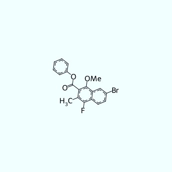 COc1c(C(=O)Oc2ccccc2)c(C)c(F)c2ccc(Br)cc12